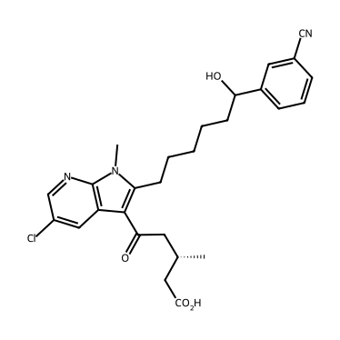 C[C@H](CC(=O)O)CC(=O)c1c(CCCCCC(O)c2cccc(C#N)c2)n(C)c2ncc(Cl)cc12